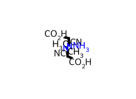 CC(C#N)(CCC(=O)O)N=NC(C)(C#N)CCC(=O)O.N